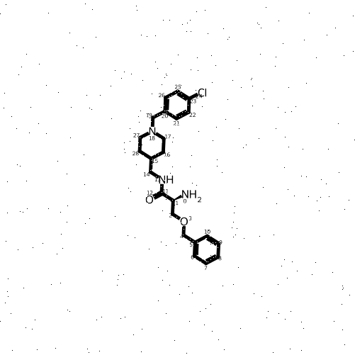 N[C@@H](COCc1ccccc1)C(=O)NCC1CCN(Cc2ccc(Cl)cc2)CC1